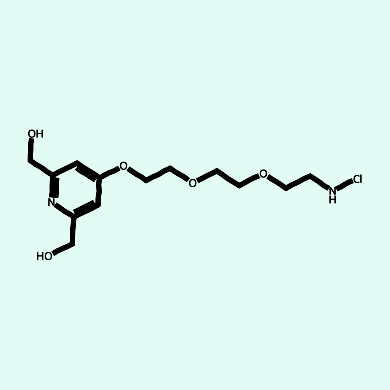 OCc1cc(OCCOCCOCCNCl)cc(CO)n1